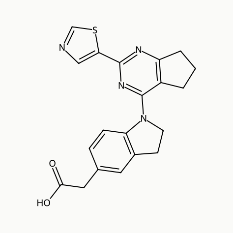 O=C(O)Cc1ccc2c(c1)CCN2c1nc(-c2cncs2)nc2c1CCC2